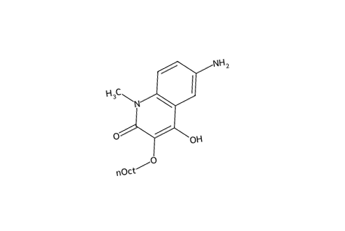 CCCCCCCCOc1c(O)c2cc(N)ccc2n(C)c1=O